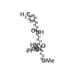 COCCCCNC(=O)[C@H](CCCCNC(=O)CCCc1ccc(C)cc1)NC(=O)CC(C)C